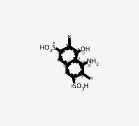 Cc1c(S(=O)(=O)O)cc2cc(S(=O)(=O)O)c(C)c(O)c2c1N